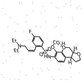 CCN(CC)C/C=C\c1cc(F)ccc1S(=O)(=O)Nc1ccc2c(c1OC(=O)O)OC[C@@H]1OCC[C@H]21